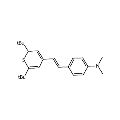 CN(C)c1ccc(C=CC2=CC(C(C)(C)C)SC(C(C)(C)C)=C2)cc1